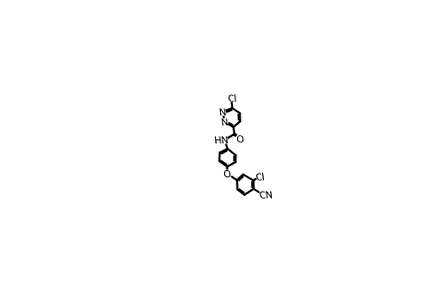 N#Cc1ccc(Oc2ccc(NC(=O)c3ccc(Cl)nn3)cc2)cc1Cl